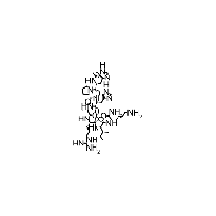 CC[C@H](C)[C@H](NC(=O)[C@H](CCCNC(=N)N)NC(=O)[C@H](C)NC(=O)[C@H](Cc1c[nH]cn1)NC(=O)[C@@H]1CCCN1C(=O)[C@H](Cc1c[nH]cn1)NC(C)=O)C(=O)N[C@@H](CCCCN)C(N)=O